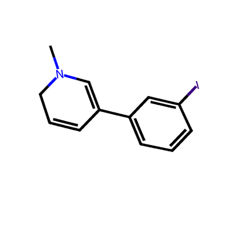 CN1C=C(c2cccc(I)c2)C=CC1